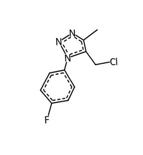 Cc1nnn(-c2ccc(F)cc2)c1CCl